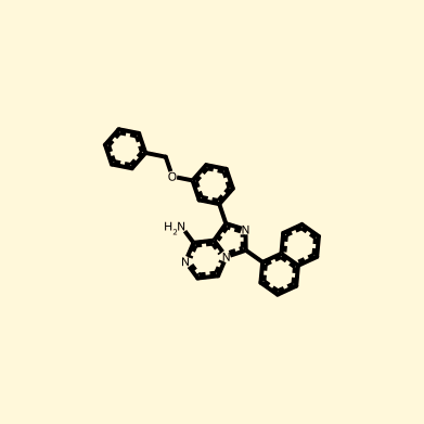 Nc1nccn2c(-c3cccc4ccccc34)nc(-c3cccc(OCc4ccccc4)c3)c12